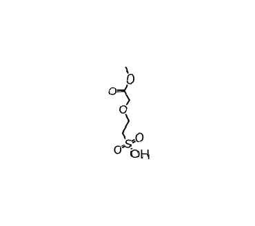 COC(=O)COCCS(=O)(=O)O